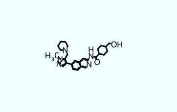 Cn1ncc(-c2ccc3cnc(NC(=O)C4CCC(CO)CC4)cc3c2)c1CN1CCCCC1